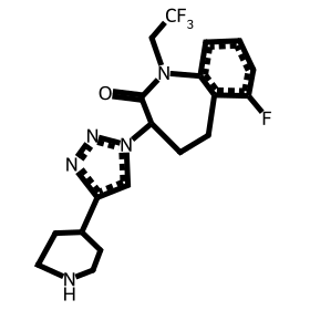 O=C1C(n2cc(C3CCNCC3)nn2)CCc2c(F)cccc2N1CC(F)(F)F